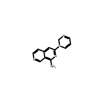 Nc1nc(N2C=CC=NC2)cc2ccncc12